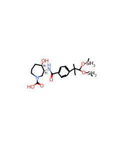 C[SiH2]OC(O[SiH2]C)C(C)(C)c1ccc(C(=O)N[C@@H]2CN(C(=O)O)CCC[C@H]2O)cc1